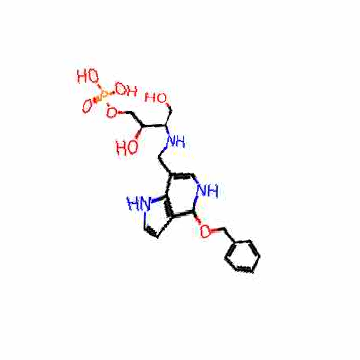 O=P(O)(O)OC[C@H](O)[C@@H](CO)NCC1=CNC(OCc2ccccc2)c2cc[nH]c21